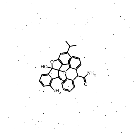 CC(C)c1ccc2c(c1)OC1(O)c3cccc(N)c3C(=O)C21N1c2ccccc2C(C(N)=O)c2ccccc21